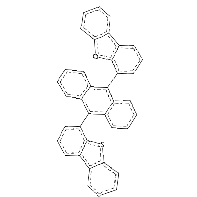 c1ccc2c(c1)oc1c(-c3c4ccccc4c(-c4cccc5c4sc4ccccc45)c4ccccc34)cccc12